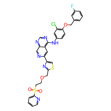 O=S(=O)(CCOCc1nc(-c2cc3c(Nc4ccc(OCc5cccc(F)c5)c(Cl)c4)ncnc3cn2)cs1)c1ccccn1